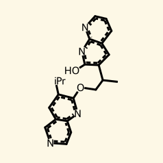 CC(C)c1cc2cnccc2nc1OCC(C)c1cc2cccnc2nc1O